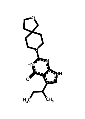 CCC(C)c1c[nH]c2nc(N3CCC4(CCOC4)CC3)[nH]c(=O)c12